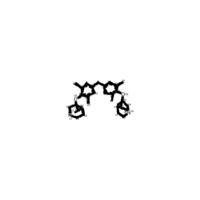 Cc1cc(Cc2cc(C)c(OC3CN4CCC3CC4)c(C)c2)cc(C)c1OC1CN2CCC1CC2